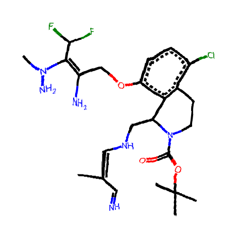 C/C(C=N)=C/NCC1c2c(OC/C(N)=C(\C(F)F)N(C)N)ccc(Cl)c2CCN1C(=O)OC(C)(C)C